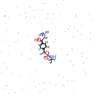 C[C@H](OC(=O)NC(C)(C)C)c1ccc(C(O)CN(C)C)cc1